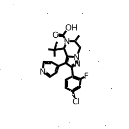 CC1Cn2nc(-c3ccc(Cl)cc3F)c(-c3ccncc3)c2C(C(C)(C)C)N1C(=O)O